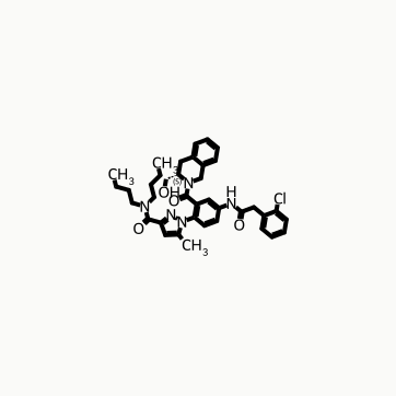 CCCCN(CCCC)C(=O)c1cc(C)n(-c2ccc(NC(=O)Cc3ccccc3Cl)cc2C(=O)N2Cc3ccccc3C[C@H]2CO)n1